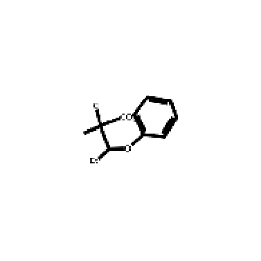 CCC(Oc1ccccc1)C(C)(Cl)C(=O)O